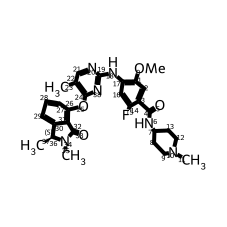 COc1cc(C(=O)NC2CCN(C)CC2)c(F)cc1Nc1ncc(C)c(Oc2cccc3c2C(=O)N(C)[C@H]3C)n1